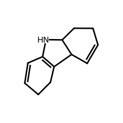 C1=CC2=C(CC1)C1C=CCCC1N2